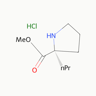 CCC[C@@]1(C(=O)OC)CCCN1.Cl